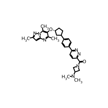 Cc1cc2nc(C)c(O[C@@H]3CCC(c4ccc(-c5ccc(C(=O)N6CC(N(C)C)C6)nn5)cc4)C3)c(C)n2n1